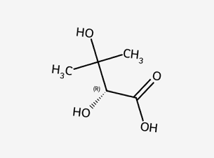 CC(C)(O)[C@@H](O)C(=O)O